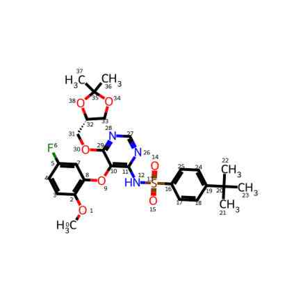 COc1ccc(F)cc1Oc1c(NS(=O)(=O)c2ccc(C(C)(C)C)cc2)ncnc1OC[C@H]1COC(C)(C)O1